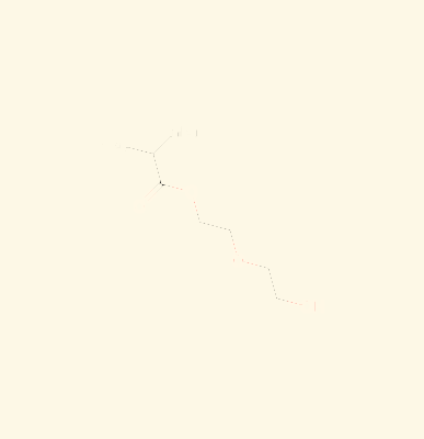 CCCCC(CCCC)C(=O)OCCOCCO